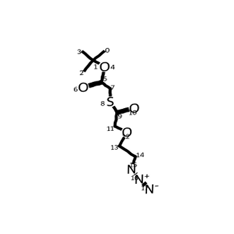 CC(C)(C)OC(=O)CSC(=O)COCCN=[N+]=[N-]